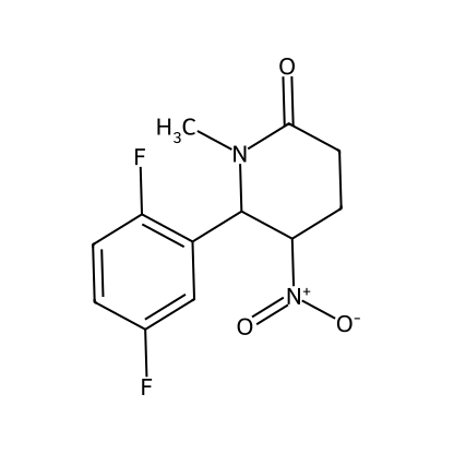 CN1C(=O)CCC([N+](=O)[O-])C1c1cc(F)ccc1F